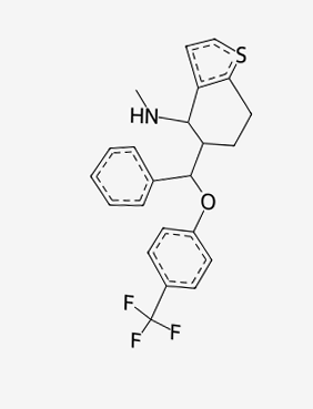 CNC1c2ccsc2CCC1C(Oc1ccc(C(F)(F)F)cc1)c1ccccc1